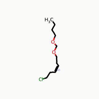 CCCCOCOCC/C=C\CCCl